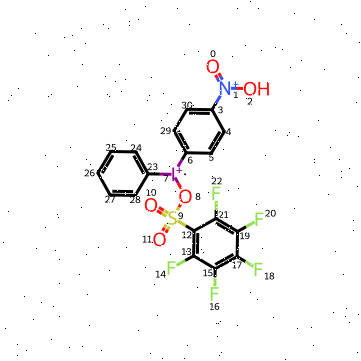 O=[N+](O)c1ccc([I+](OS(=O)(=O)c2c(F)c(F)c(F)c(F)c2F)c2ccccc2)cc1